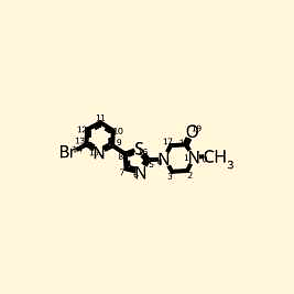 CN1CCN(c2ncc(-c3cccc(Br)n3)s2)CC1=O